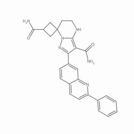 NC(=O)c1c(-c2ccc3ccc(-c4ccccc4)nc3c2)nn2c1NCCC21CC(C(N)=O)C1